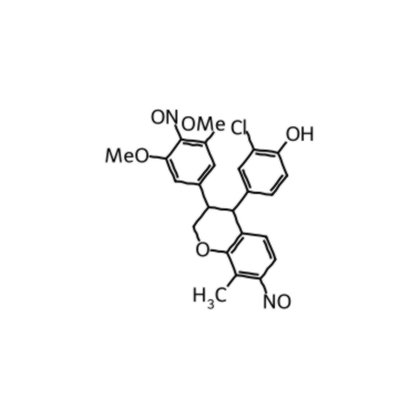 COc1cc(C2COc3c(ccc(N=O)c3C)C2c2ccc(O)c(Cl)c2)cc(OC)c1N=O